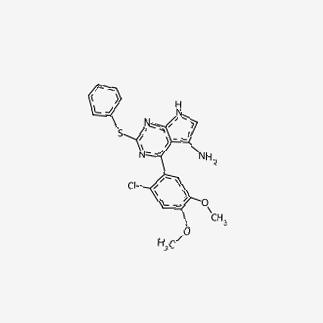 COc1cc(Cl)c(-c2nc(Sc3ccccc3)nc3[nH]cc(N)c23)cc1OC